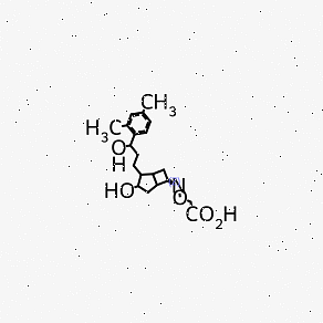 Cc1ccc(C(O)CCC2C(O)CC3/C(=N\OCC(=O)O)CC32)c(C)c1